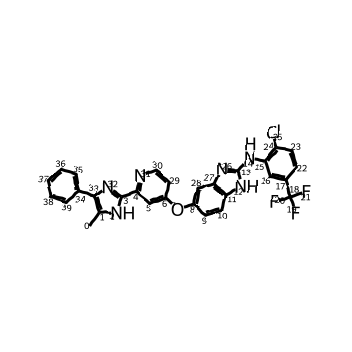 Cc1[nH]c(-c2cc(Oc3ccc4[nH]c(Nc5cc(C(F)(F)F)ccc5Cl)nc4c3)ccn2)nc1-c1ccccc1